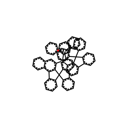 c1ccc(N(c2ccccc2)c2ccc3c(c2)C2(c4ccccc4-3)c3ccccc3-c3c2c(N(c2ccccc2)c2cccc4c2C2(c5ccccc5-c5ccccc52)c2ccccc2-4)cc2ccccc32)cc1